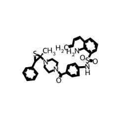 C=C/C=C\c1cccc(S(=O)(=O)Nc2ccc(C(=O)N3CCN([C@@]4(C)SC4c4ccccc4)CC3)cc2)c1N